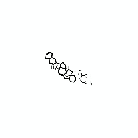 CCN(C(C)C)[C@@H]1CCC2=CC3=CC[C@]4(C)C(c5ccc6ccccc6c5)CC[C@H]4C34CC[C@]2(C1)O4